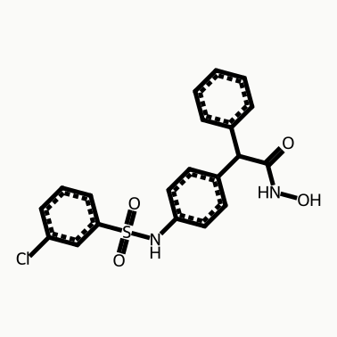 O=C(NO)C(c1ccccc1)c1ccc(NS(=O)(=O)c2cccc(Cl)c2)cc1